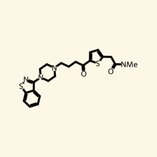 CNC(=O)Cc1ccc(C(=O)CCCN2CCN(c3nsc4ccccc34)CC2)s1